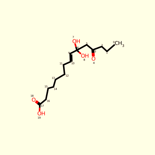 CCCC(=O)CC(O)(O)C=CCCCCCCC(=O)O